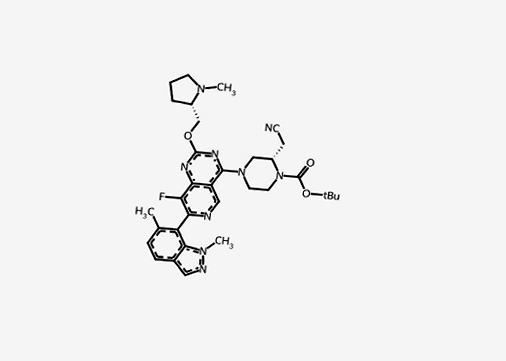 Cc1ccc2cnn(C)c2c1-c1ncc2c(N3CCN(C(=O)OC(C)(C)C)[C@@H](CC#N)C3)nc(OC[C@@H]3CCCN3C)nc2c1F